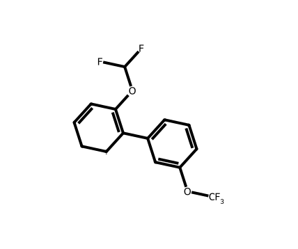 FC(F)OC1=C(c2cccc(OC(F)(F)F)c2)[CH]CC=C1